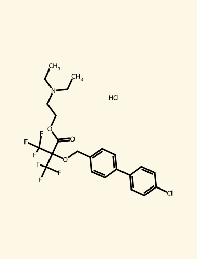 CCN(CC)CCOC(=O)C(OCc1ccc(-c2ccc(Cl)cc2)cc1)(C(F)(F)F)C(F)(F)F.Cl